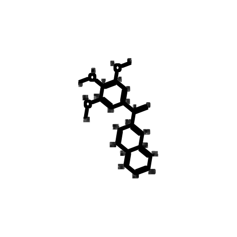 C=C(c1cc(OC)c(OC)c(OC)c1)c1ccc2ccccc2c1